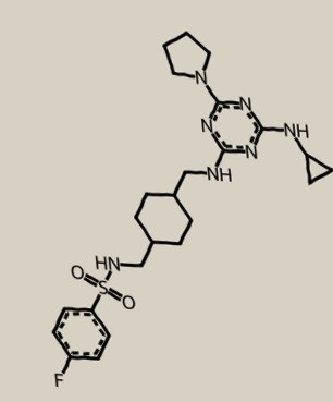 O=S(=O)(NCC1CCC(CNc2nc(NC3CC3)nc(N3CCCC3)n2)CC1)c1ccc(F)cc1